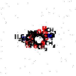 CC[C@H]1OC(=O)[C@H](C)C(=O)[C@H](C)[C@@H](O[C@@H]2O[C@H](C)C[C@H](N(C)C)[C@H]2OC(C)=O)[C@@](C)(OC)C[C@@H](C)C(=O)/C(COC(C)=O)=C/[C@]1(C)OC(=O)n1cccc1